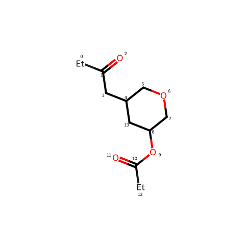 CCC(=O)CC1COCC(OC(=O)CC)C1